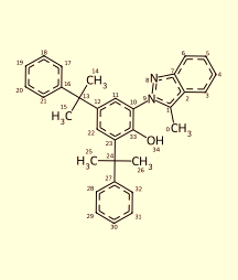 Cc1c2ccccc2nn1-c1cc(C(C)(C)c2ccccc2)cc(C(C)(C)c2ccccc2)c1O